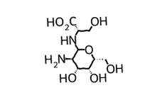 N[C@H]1C(N[C@@H](CO)C(=O)O)O[C@H](CO)[C@H](O)[C@@H]1O